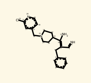 N=C/C(Cc1ccccc1)=C(\N)C1CCN(Cc2ccnc(Cl)c2)CC1